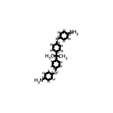 CC(C)(c1ccc(Sc2ccc(N)cc2)cc1)c1ccc(Sc2ccc(N)cc2)cc1